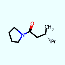 CC(C)[C@@H](C)CC(=O)N1CCCC1